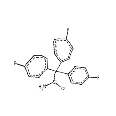 N[S+]([O-])C(c1ccc(F)cc1)(c1ccc(F)cc1)c1ccc(F)cc1